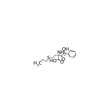 CCCSCCC(N)(C(=O)O)C(=O)C(O)c1ccccc1